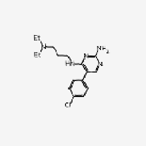 CCN(CC)CCCNc1nc(N)ncc1-c1ccc(Cl)cc1